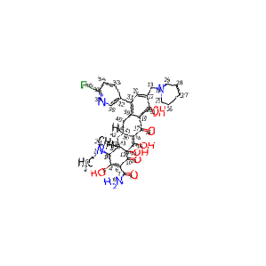 CN(C)[C@@H]1C(O)=C(C(N)=O)C(=O)[C@@]2(O)C(O)=C3C(=O)c4c(O)c(CN5CCCCC5)cc(-c5ccc(F)nc5)c4C[C@H]3C[C@@H]12